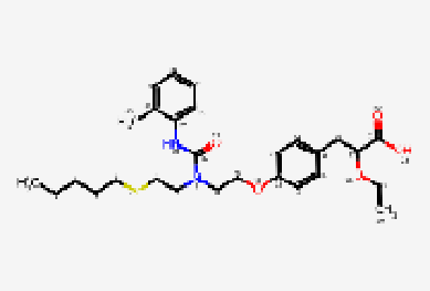 CCCCCSCCN(CCOc1ccc(CC(OCC)C(=O)O)cc1)C(=O)Nc1ccccc1C